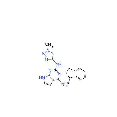 Cn1cc(Nc2nc(/N=C\C3CCc4ccccc43)c3cc[nH]c3n2)nn1